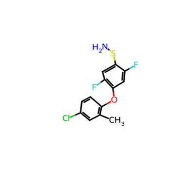 Cc1cc(Cl)ccc1Oc1cc(F)c(SN)cc1F